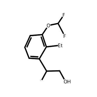 [CH2]C(CO)c1cccc(OC(F)F)c1CC